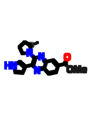 COC(=O)c1ccc2nc(-c3cc[nH]c3)c(N3CCC[C@@H]3C)nc2c1